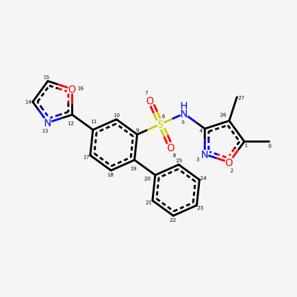 Cc1onc(NS(=O)(=O)c2cc(-c3ncco3)ccc2-c2ccccc2)c1C